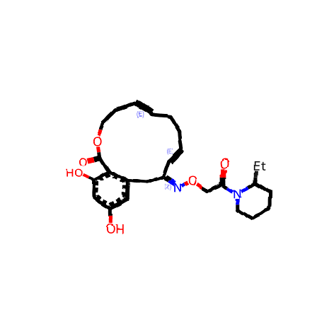 CCC1CCCCN1C(=O)CO/N=C1\C=C\CC/C=C/CCOC(=O)c2c(O)cc(O)cc2C1